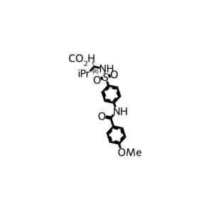 COc1ccc(C(=O)Nc2ccc(S(=O)(=O)N[C@@H](C(=O)O)C(C)C)cc2)cc1